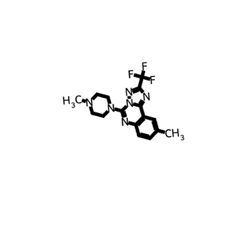 Cc1ccc2nc(N3CCN(C)CC3)n3nc(C(F)(F)F)nc3c2c1